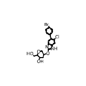 OCC1OCC(Oc2nc3cc(-c4ccc(Br)cc4)c(Cl)cc3[nH]2)CC1O